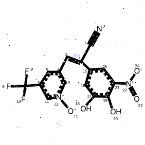 N#C/C(=C/c1cc(C(F)(F)F)c[n+]([O-])c1)c1cc(O)c(O)c([N+](=O)[O-])c1